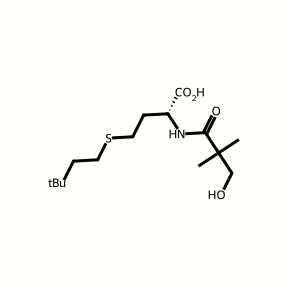 CC(C)(C)CCSCC[C@@H](NC(=O)C(C)(C)CO)C(=O)O